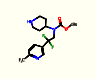 CC(C)(C)OC(=O)N(CC(F)(F)c1ccc(C(F)(F)F)nc1)C1CCNCC1